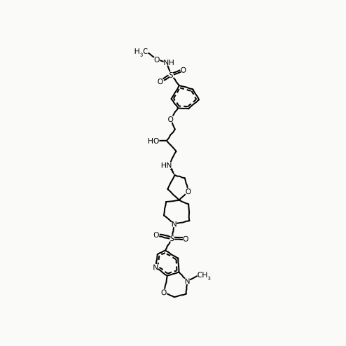 CONS(=O)(=O)c1cccc(OCC(O)CN[C@H]2COC3(CCN(S(=O)(=O)c4cnc5c(c4)N(C)CCO5)CC3)C2)c1